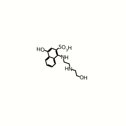 O=S(=O)(O)c1cc(O)c2ccccc2c1NCCNCCO